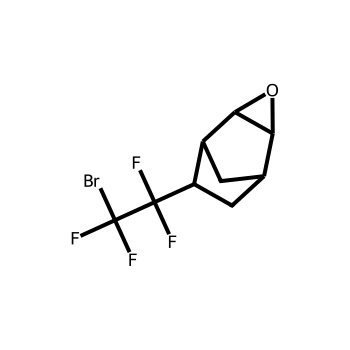 FC(F)(Br)C(F)(F)C1CC2CC1C1OC21